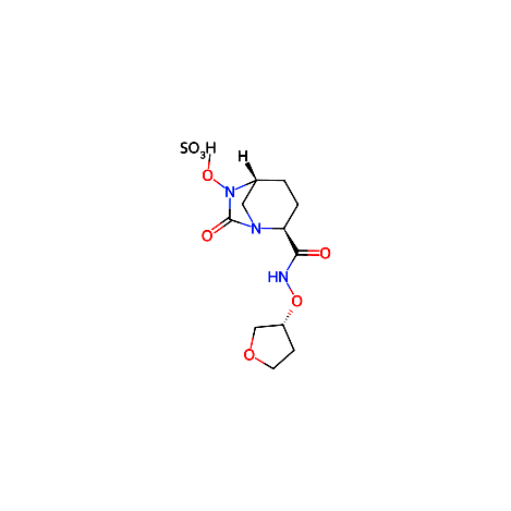 O=C(NO[C@@H]1CCOC1)[C@@H]1CC[C@@H]2CN1C(=O)N2OS(=O)(=O)O